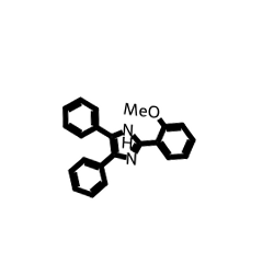 COc1ccccc1-c1nc(-c2ccccc2)c(-c2ccccc2)[nH]1